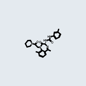 CC1=N[C@@H](NC(=O)Nc2cccc(C)c2)C(=O)N(CC(=O)N2CCCCC2)c2c(C)cccc21